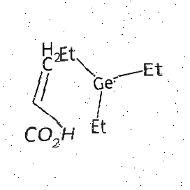 C=CC(=O)O.C[CH2][Ge]([CH2]C)[CH2]C